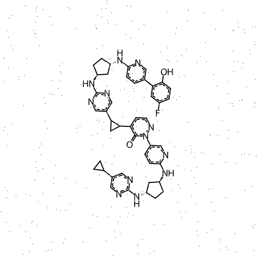 O=c1c(C2CC2c2cnc(N[C@H]3CC[C@H](Nc4ccc(-c5cc(F)ccc5O)cn4)C3)nc2)ccnn1-c1ccc(N[C@H]2CC[C@H](Nc3ncc(C4CC4)cn3)C2)nc1